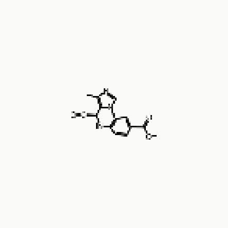 COC(=O)c1ccc2c(c1)-n1cnc(C)c1C(=C=O)N2